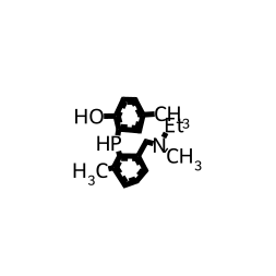 CCN(C)Cc1cccc(C)c1Pc1cc(C)ccc1O